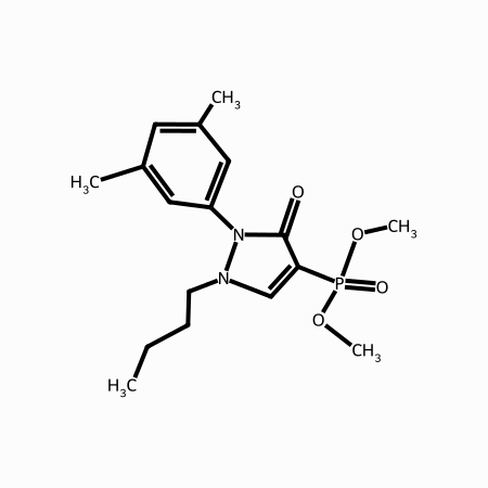 CCCCn1cc(P(=O)(OC)OC)c(=O)n1-c1cc(C)cc(C)c1